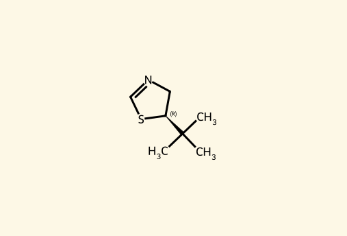 CC(C)(C)[C@@H]1CN=CS1